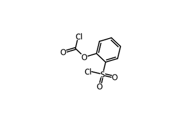 O=C(Cl)Oc1ccccc1S(=O)(=O)Cl